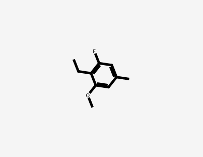 CCc1c(F)cc(C)cc1OC